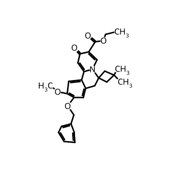 CCOC(=O)c1cn2c(cc1=O)-c1cc(OC)c(OCc3ccccc3)cc1CC21CC(C)(C)C1